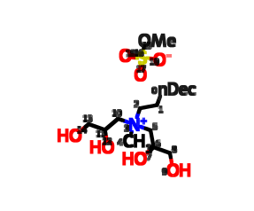 CCCCCCCCCCCC[N+](C)(CC(O)CO)CC(O)CO.COS(=O)(=O)[O-]